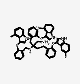 Cc1cccc2[nH]cc(Sc3ccccc3CNC(CN)(CCc3ccccc3Sc3c[nH]c4ccc(F)cc34)Cc3ccccc3Sc3c[nH]c4cccc(Cl)c34)c12